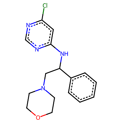 Clc1cc(NC(CN2CCOCC2)c2ccccc2)ncn1